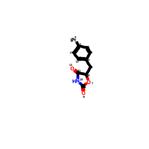 CC(C)c1ccc(CC2OC(=O)NC2=O)cc1